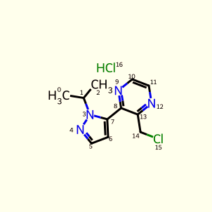 CC(C)n1nccc1-c1nccnc1CCl.Cl